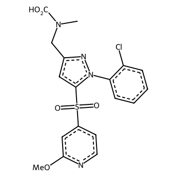 COc1cc(S(=O)(=O)c2cc(CN(C)C(=O)O)nn2-c2ccccc2Cl)ccn1